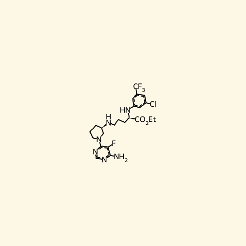 CCOC(=O)[C@@H](CCCN[C@@H]1CCCN(c2ncnc(N)c2F)C1)Nc1cc(Cl)cc(C(F)(F)F)c1